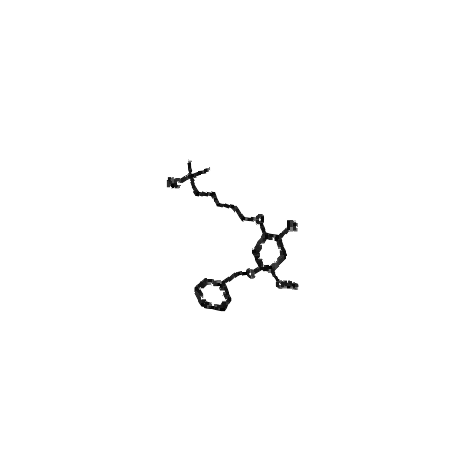 CCc1cc(OC)c(OCc2ccccc2)cc1OCCCCCC(C)(C)C#N